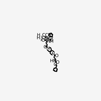 CC(C)(C)OC(=O)C(CCC(=O)N1CCC2(CCN(C(=O)CCNC(=O)OCc3ccccc3)CC2)CC1)NS(=O)(=O)c1ccccc1